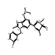 Cc1cc(-c2cc(N=S(C)C)c3nc(C)n(Cc4cccc(F)c4)c3c2)cn(C)c1=O